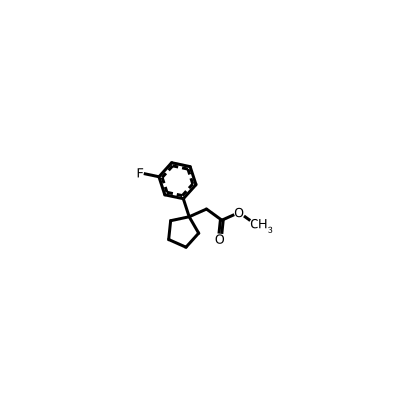 COC(=O)CC1(c2cccc(F)c2)CCCC1